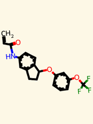 C=CC(=O)Nc1ccc2c(c1)CCC2Oc1cccc(OC(F)(F)F)c1